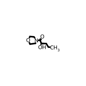 CCC[C@@H](O)C(=O)N1CCOCC1